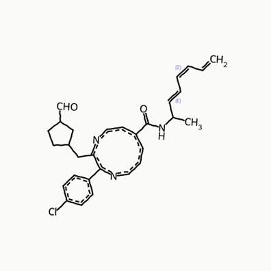 C=C/C=C\C=C\C(C)NC(=O)c1cccnc(-c2ccc(Cl)cc2)c(CC2CCC(C=O)C2)ncc1